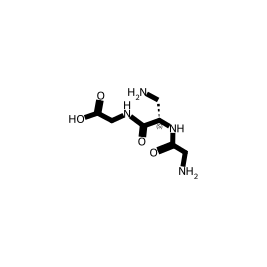 NCC(=O)N[C@@H](CN)C(=O)NCC(=O)O